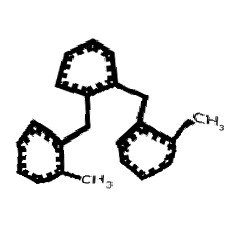 Cc1ccccc1Cc1ccccc1Cc1ccccc1C